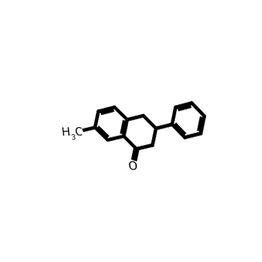 Cc1ccc2c(c1)C(=O)CC(c1ccccc1)C2